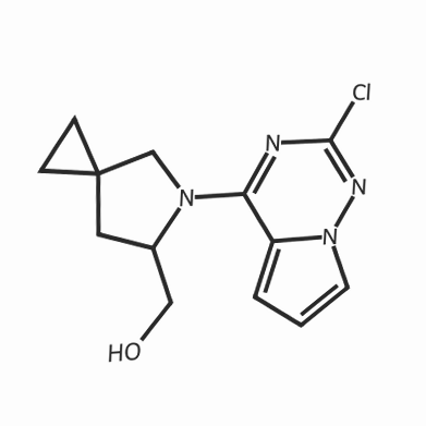 OCC1CC2(CC2)CN1c1nc(Cl)nn2cccc12